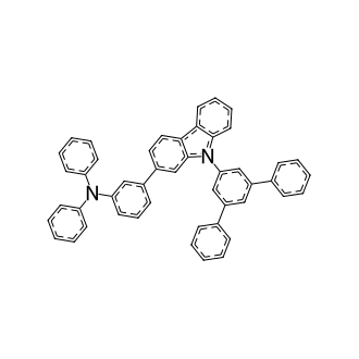 c1ccc(-c2cc(-c3ccccc3)cc(-n3c4ccccc4c4ccc(-c5cccc(N(c6ccccc6)c6ccccc6)c5)cc43)c2)cc1